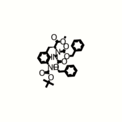 COC(=O)[C@H](Cc1cccc(NC(=O)OC(C)(C)C)c1)N(NC(=O)OCc1ccccc1)C(=O)OCc1ccccc1